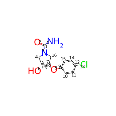 NC(=O)N1C[C@@H](O)[C@H](Oc2ccc(Cl)cc2)C1